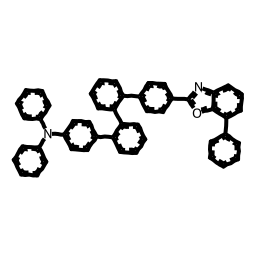 c1ccc(-c2cccc3nc(-c4ccc(-c5ccccc5-c5ccccc5-c5ccc(N(c6ccccc6)c6ccccc6)cc5)cc4)oc23)cc1